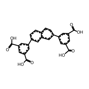 O=C(O)c1cc(C(=O)O)cc(-c2ccc3ccc(-c4cc(C(=O)O)cc(C(=O)O)c4)cc3c2)c1